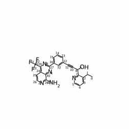 CCc1cccnc1[C@H](O)C#Cc1cccc(-c2nc(C(F)(F)F)c3ccnc(N)c3n2)c1